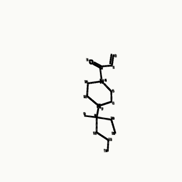 C=CC(=O)N1CCN(C(C)(CC)CCC)CC1